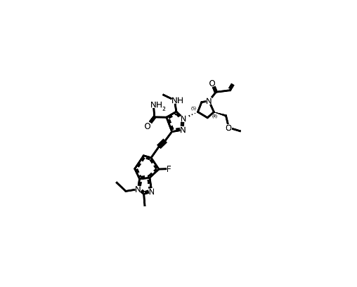 C=CC(=O)N1C[C@@H](n2nc(C#Cc3ccc4c(nc(C)n4CC)c3F)c(C(N)=O)c2NC)C[C@@H]1COC